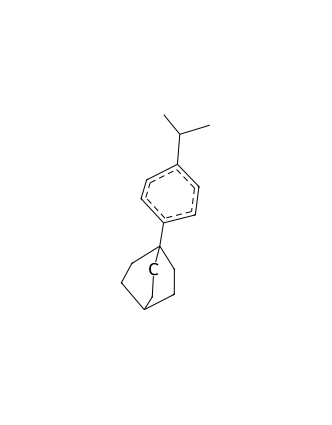 CC(C)c1ccc(C23CCC(CC2)CC3)cc1